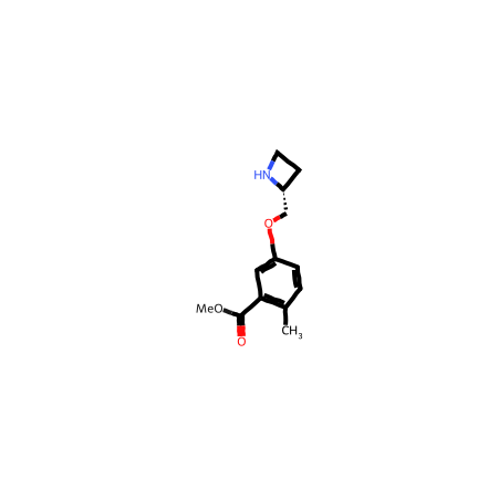 COC(=O)c1cc(OC[C@H]2CCN2)ccc1C